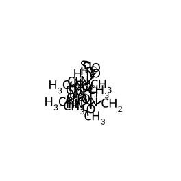 C=CCNC(=O)C(=O)C(CCC)NC(=O)[C@@H]1[C@@H]2C(CN1C(=O)[C@@H](NC(=O)NC(CN1CC3SC=CC3S1(=O)=O)C(C)(C)C)C(C)(C)C)C2(C)C